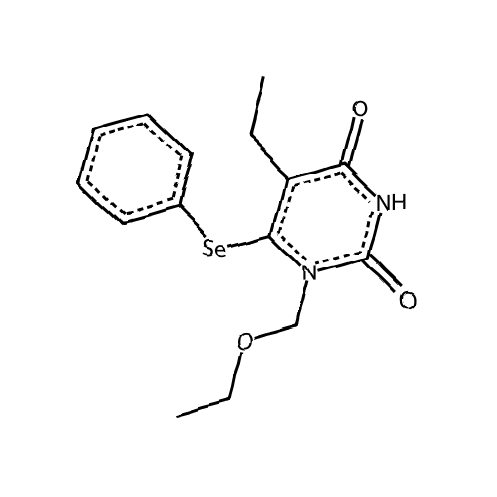 CCOCn1c([Se]c2ccccc2)c(CC)c(=O)[nH]c1=O